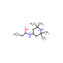 CCC(O)NC1CC(C)(C)NC(C)(C)C1